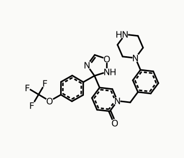 O=c1ccc(C2(c3ccc(OC(F)(F)F)cc3)N=CON2)cn1Cc1cccc(N2CCNCC2)c1